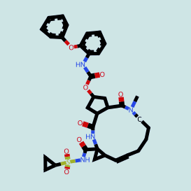 CN1CCCCC=CC2CC2(C(=O)NS(=O)(=O)C2CC2)NC(=O)C2CC(OC(=O)Nc3ccccc3Oc3ccccc3)CC2C1=O